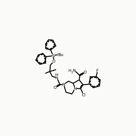 CC(C)(CNC(=O)N1CCN2C(Cl)=C(c3cccc(F)c3)C(C(N)=O)C2C1)CO[Si](c1ccccc1)(c1ccccc1)C(C)(C)C